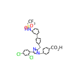 O=C(O)c1ccc(Cn2cc(-c3ccc(Cl)cc3Cl)nc2Cc2ccc(-c3cccc(NS(=O)(=O)CC(F)(F)F)c3)cc2)cc1